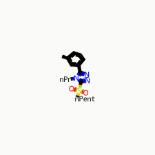 CCCCCS(=O)(=O)c1nnc(-c2cccc(C)c2)n1CCC